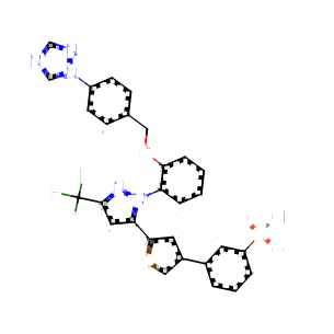 CS(=O)(=O)c1cccc(-c2csc(-c3cc(C(F)(F)F)nn3-c3ccccc3OCc3ccc(-n4cncn4)cc3)c2)c1